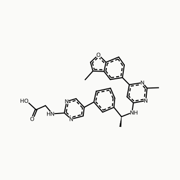 Cc1nc(N[C@@H](C)c2cccc(-c3cnc(NCC(=O)O)nc3)c2)cc(-c2ccc3occ(C)c3c2)n1